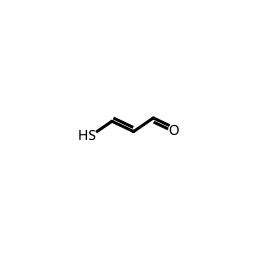 O=CC=CS